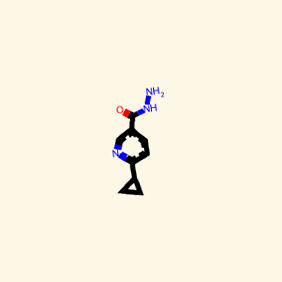 NNC(=O)c1ccc(C2CC2)nc1